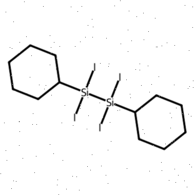 I[Si](I)(C1CCCCC1)[Si](I)(I)C1CCCCC1